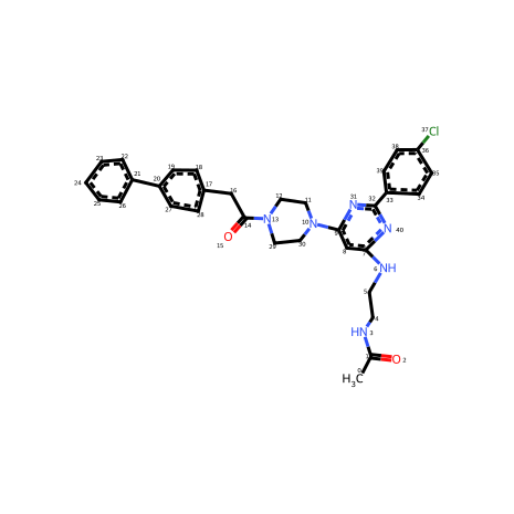 CC(=O)NCCNc1cc(N2CCN(C(=O)Cc3ccc(-c4ccccc4)cc3)CC2)nc(-c2ccc(Cl)cc2)n1